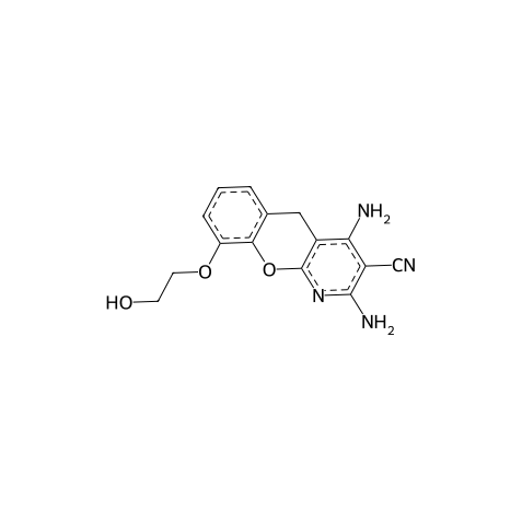 N#Cc1c(N)nc2c(c1N)Cc1cccc(OCCO)c1O2